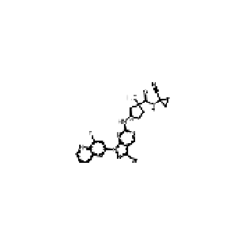 CC1(C(=O)NC2(C#N)CC2)CC[C@@H](Nc2ncc3c(Br)nn(-c4cc(F)c5ncccc5c4)c3n2)C1